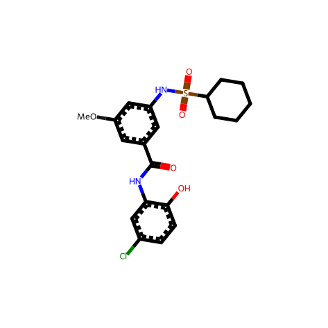 COc1cc(NS(=O)(=O)C2CCCCC2)cc(C(=O)Nc2cc(Cl)ccc2O)c1